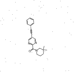 CC1(C)CCCN(C(=O)c2ncc(C#Cc3ccccc3)cn2)C1